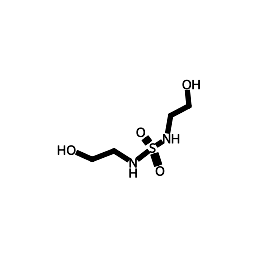 O=S(=O)(NCCO)NCCO